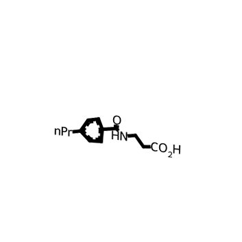 CCCc1ccc(C(=O)NCCC(=O)O)cc1